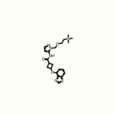 C[Si](C)(C)CCOCn1nccc1NC(=O)C1CC(Oc2cccc3scnc23)C1